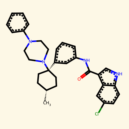 C[C@H]1CC[C@](c2cccc(NC(=O)c3c[nH]c4ccc(Cl)cc34)c2)(N2CCN(c3ccccc3)CC2)CC1